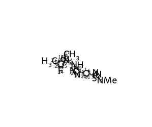 CNc1nnc(-c2ccc(-c3cc(NCCn4c(C)cc5c(C)cc(F)cc54)ncn3)cc2)s1